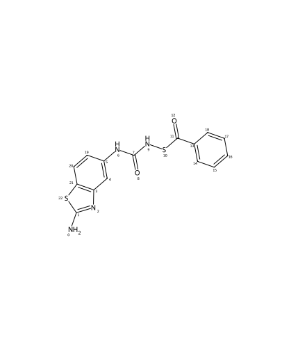 Nc1nc2cc(NC(=O)NSC(=O)c3ccccc3)ccc2s1